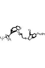 CCCOc1ccc2c(c1)C(=O)N(CCNc1nccc3ccc(-c4noc(C)n4)cc13)C2